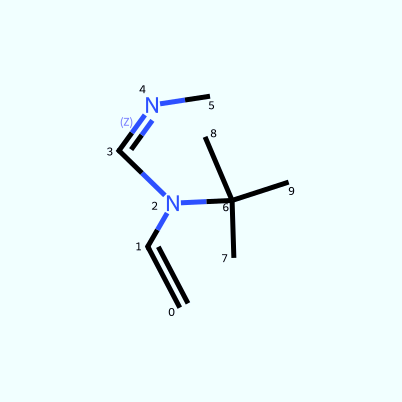 C=CN(/C=N\C)C(C)(C)C